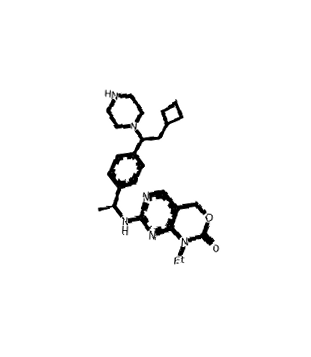 CCN1C(=O)OCc2cnc(N[C@@H](C)c3ccc(C(CC4CCC4)N4CCNCC4)cc3)nc21